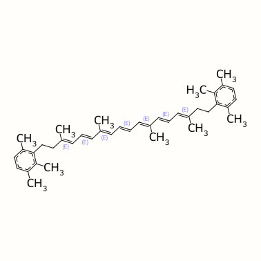 CC(/C=C/C=C(\C)CCc1c(C)ccc(C)c1C)=C\C=C\C=C(C)\C=C\C=C(/C)CCc1c(C)ccc(C)c1C